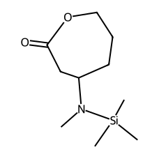 CN(C1CCCOC(=O)C1)[Si](C)(C)C